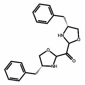 O=C(C1N[C@H](Cc2ccccc2)CO1)C1N[C@H](Cc2ccccc2)CO1